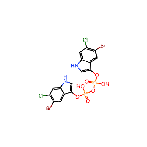 O=P(O)(Oc1c[nH]c2cc(Cl)c(Br)cc12)OP(=O)(O)Oc1c[nH]c2cc(Cl)c(Br)cc12